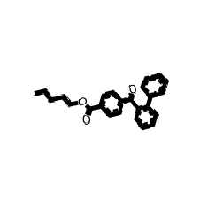 CCCCCOC(=O)c1ccc(C(=O)c2ccccc2-c2ccccc2)cc1